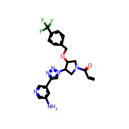 C=CC(=O)N1CC(OCc2ccc(C(F)(F)F)cc2)C(n2cc(-c3cncc(N)c3)nn2)C1